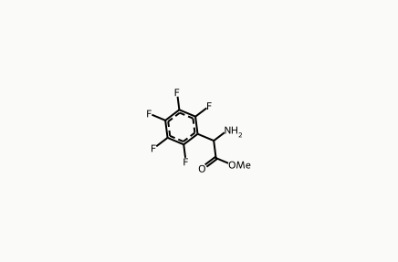 COC(=O)C(N)c1c(F)c(F)c(F)c(F)c1F